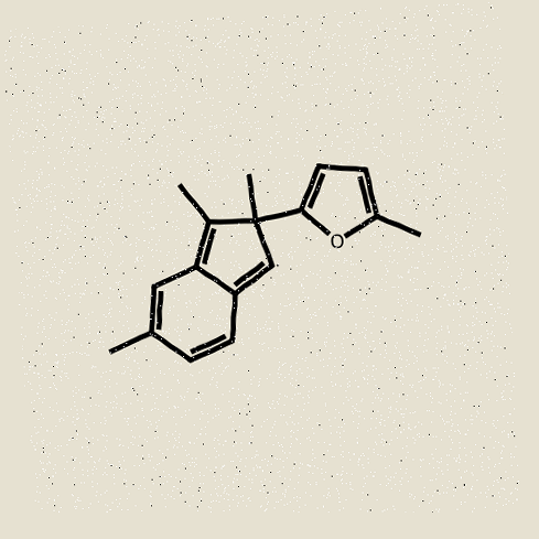 CC1=c2cc(C)ccc2=[C]C1(C)c1ccc(C)o1